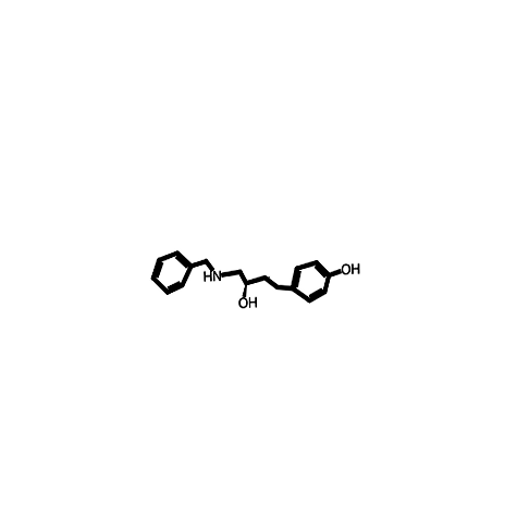 Oc1ccc(C[CH][C@@H](O)CNCc2ccccc2)cc1